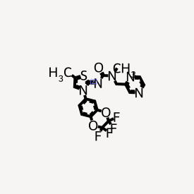 Cc1cn(-c2ccc3c(c2)OC(F)(F)C(F)(F)O3)/c(=N/C(=O)N(C)Cc2cnccn2)s1